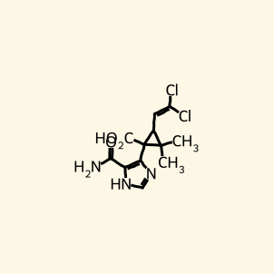 CC1(C)C(C=C(Cl)Cl)C1(C(=O)O)c1nc[nH]c1C(N)=O